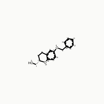 OC[C@@H]1CCc2cc(OCc3ccccc3)ccc2O1